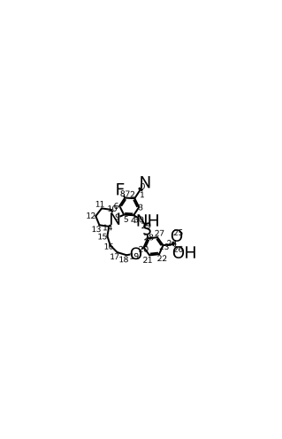 N#Cc1cc2c(cc1F)N1CCCCC1CCCCOc1ccc(C(=O)O)cc1SN2